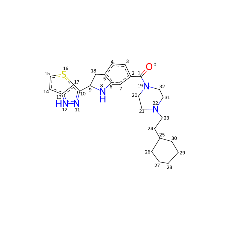 O=C(c1ccc2c(c1)NC(c1n[nH]c3ccsc13)C2)N1CCN(CCC2CCCCC2)CC1